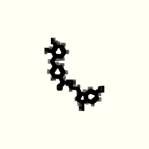 O=C(NCCc1c[nH]c2ccc(Cl)cc12)c1ccc(Cc2cccc(F)c2F)cc1